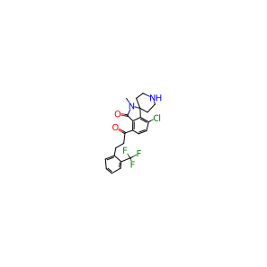 CN1C(=O)c2c(C(=O)CCc3ccccc3C(F)(F)F)ccc(Cl)c2C12CCNCC2